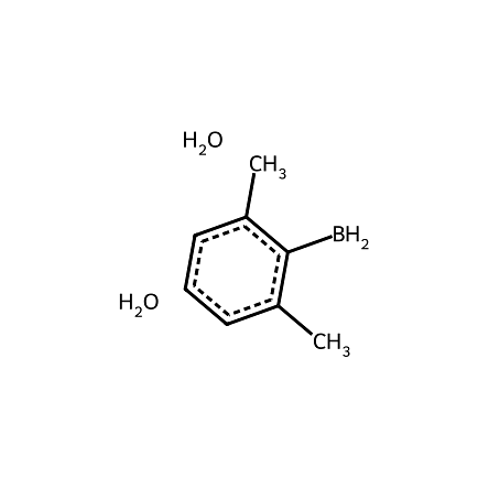 Bc1c(C)cccc1C.O.O